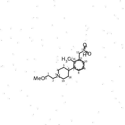 COCCN1CCC(c2cccc(C[SH](=O)=O)c2C)CC1